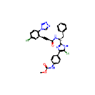 COC(=O)Nc1ccc(-c2nc([C@H](Cc3ccccc3)NC(=O)C#Cc3cc(Cl)ccc3-n3cnnn3)[nH]c2Cl)cc1